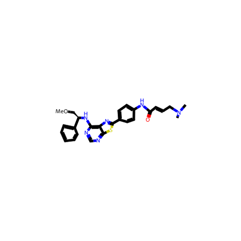 COC[C@@H](Nc1ncnc2sc(-c3ccc(NC(=O)/C=C/CN(C)C)cc3)nc12)c1ccccc1